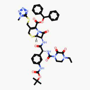 CCN1CCN(C(=O)N[C@@H](C(=O)N[C@@H]2C(=O)N3C(C(=O)OC(c4ccccc4)c4ccccc4)=C(CSc4nnnn4C)CS[C@H]23)c2cccc(NC(=O)OC(C)(C)C)c2)C(=O)C1=O